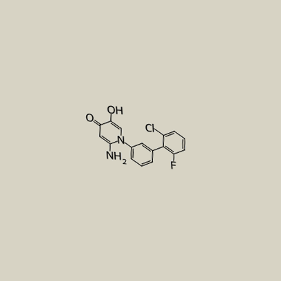 Nc1cc(=O)c(O)cn1-c1cccc(-c2c(F)cccc2Cl)c1